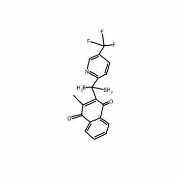 BC(B)(C1=C(C)C(=O)c2ccccc2C1=O)c1ccc(C(F)(F)F)cn1